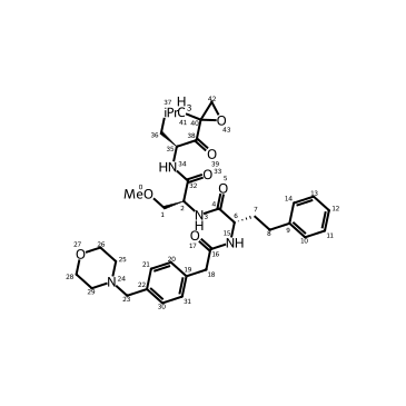 COC[C@H](NC(=O)[C@H](CCc1ccccc1)NC(=O)Cc1ccc(CN2CCOCC2)cc1)C(=O)N[C@@H](CC(C)C)C(=O)C1(C)CO1